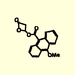 COc1c2ccccc2c(C(=O)OC2CC(=O)O2)c2ccccc12